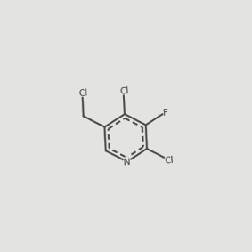 Fc1c(Cl)ncc(CCl)c1Cl